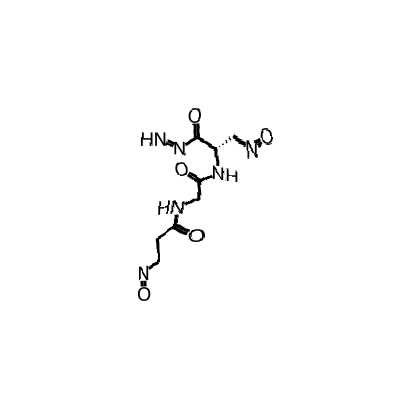 N=NC(=O)[C@H](CN=O)NC(=O)CNC(=O)CCN=O